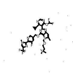 Cc1cc2nc(-c3c(OC(F)F)ncnc3C3CC3)nc(OCc3cnc(-c4nc(C(F)(F)F)cn4C)c(F)c3)c2n1COCC[Si](C)(C)C